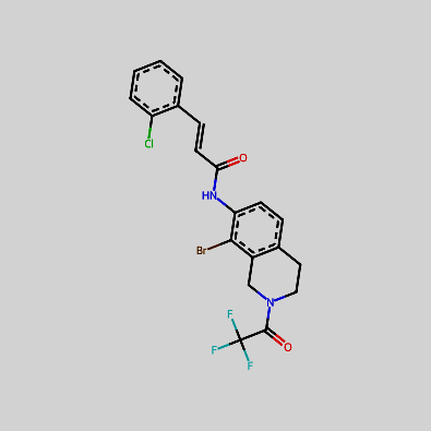 O=C(C=Cc1ccccc1Cl)Nc1ccc2c(c1Br)CN(C(=O)C(F)(F)F)CC2